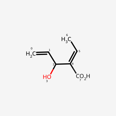 C=CC(O)C(=CC)C(=O)O